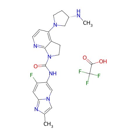 CN[C@H]1CCN(c2ccnc3c2CCN3C(=O)Nc2cn3cc(C)nc3cc2F)C1.O=C(O)C(F)(F)F